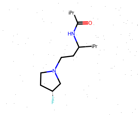 CC(C)C(=O)NC(CCN1CC[C@@H](F)C1)C(C)C